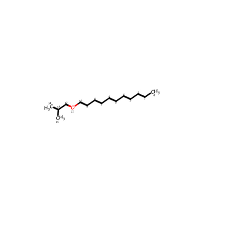 CCCCCCCCCCCOCC(C)C